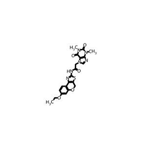 CCOc1ccc2c(c1)OCc1sc(NC(=O)Cn3cnc4c3c(=O)n(C)c(=O)n4C)nc1-2